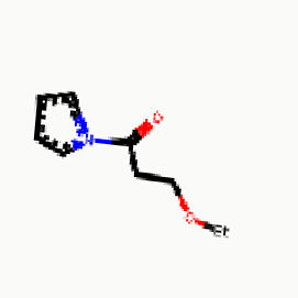 CCOCCC(=O)n1cccc1